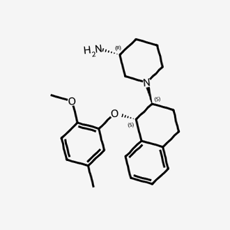 COc1ccc(C)cc1O[C@H]1c2ccccc2CC[C@@H]1N1CCC[C@@H](N)C1